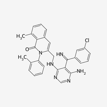 Cc1ccccc1-n1c(CNc2ncnc(N)c2C(=N)c2cccc(Cl)c2)cc2cccc(C)c2c1=O